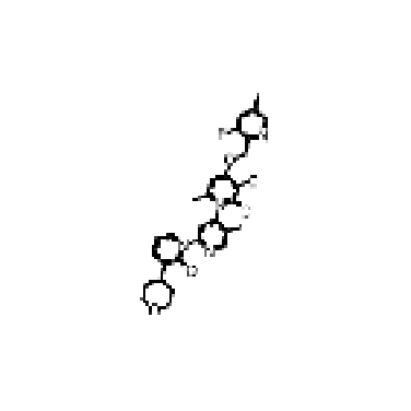 Cc1cnc(COc2cc(C)n(-c3cc(-n4cccc(C5CCOCC5)c4=O)ncc3C)c(=O)c2Cl)c(F)c1